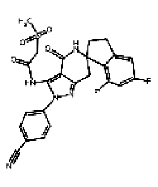 CS(=O)(=O)CC(=O)Nc1c2c(nn1-c1ccc(C#N)cc1)C[C@]1(CCc3cc(F)cc(F)c31)NC2=O